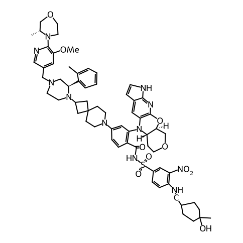 COc1cc(CN2CCN(C3CC4(CCN(c5ccc(C(=O)NS(=O)(=O)c6ccc(NCC7CCC(C)(O)CC7)c([N+](=O)[O-])c6)c(N6c7cc8cc[nH]c8nc7O[C@H]7COCC[C@@H]76)c5)CC4)C3)[C@H](c3ccccc3C)C2)cnc1N1CCOC[C@H]1C